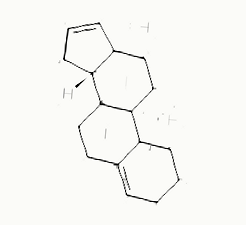 C[C@@]12C=CC[C@H]1[C@@H]1CCC3=CCCC[C@]3(C)[C@@H]1CC2